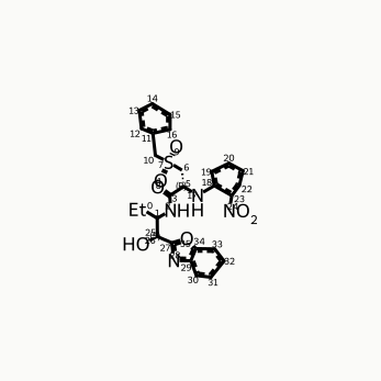 CCC(NC(=O)[C@H](CS(=O)(=O)Cc1ccccc1)Nc1ccccc1[N+](=O)[O-])[C@H](O)c1nc2ccccc2o1